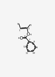 CC=C(C)OC(=O)c1ccccc1